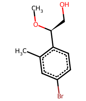 CO[C@@H](CO)c1ccc(Br)cc1C